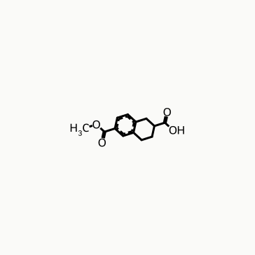 COC(=O)c1ccc2c(c1)CCC(C(=O)O)C2